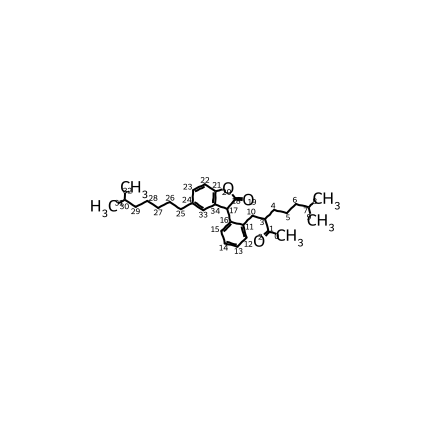 CC(=O)C(CCCC(C)C)Cc1ccccc1C1C(=O)Oc2ccc(CCCCCC(C)C)cc21